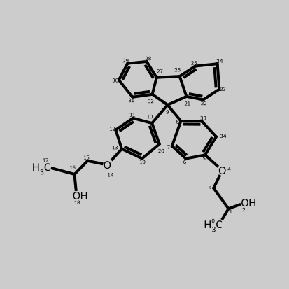 CC(O)COc1ccc(C2(c3ccc(OCC(C)O)cc3)c3ccccc3-c3ccccc32)cc1